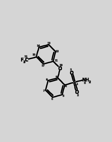 NS(=O)(=O)c1ccccc1Oc1cccc(C(F)(F)F)c1